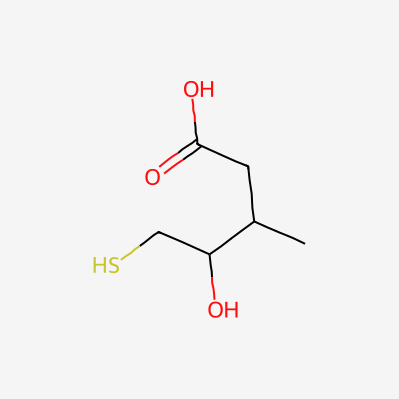 CC(CC(=O)O)C(O)CS